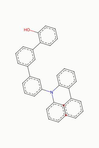 Oc1ccccc1-c1cccc(-c2cccc(N(c3ccccc3)c3ccccc3-c3ccccc3)c2)c1